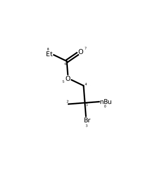 CCCCC(C)(Br)COC(=O)CC